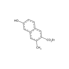 CCOC(=O)c1cc2ccc(O)cc2cc1C